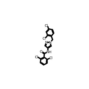 O=C(Nc1cnn(Cc2ccc(Cl)cc2Cl)c1)c1c(Cl)cccc1Cl